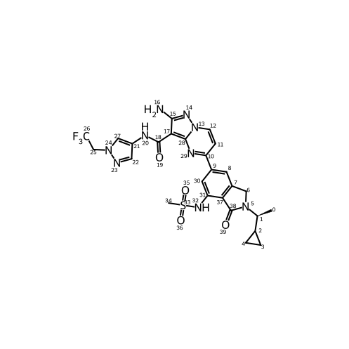 C[C@@H](C1CC1)N1Cc2cc(-c3ccn4nc(N)c(C(=O)Nc5cnn(CC(F)(F)F)c5)c4n3)cc(NS(C)(=O)=O)c2C1=O